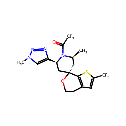 C[C@H]1C[C@@]2(C[C@@H](c3cn(C)nn3)N1C(=O)C(F)(F)F)OCCc1cc(C(F)(F)F)sc12